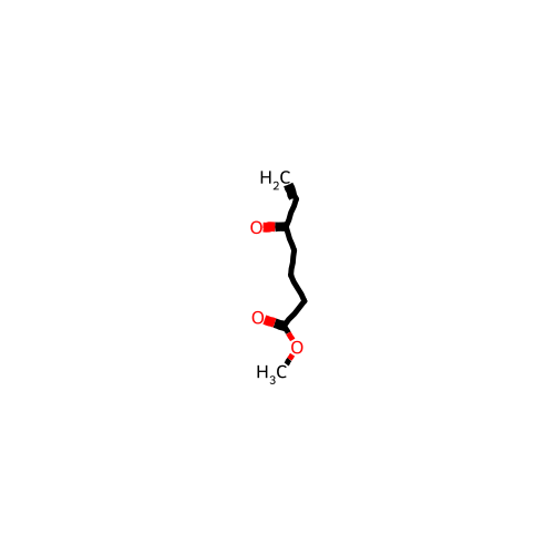 C=CC(=O)CCCC(=O)OC